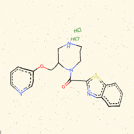 Cl.Cl.O=C(c1nc2ccccc2s1)N1CCNCC1COc1cccnc1